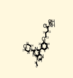 CCn1cnc2c(-c3cccc(OCCCC(=O)NO)c3)nc(N3CCOCC3)nc21